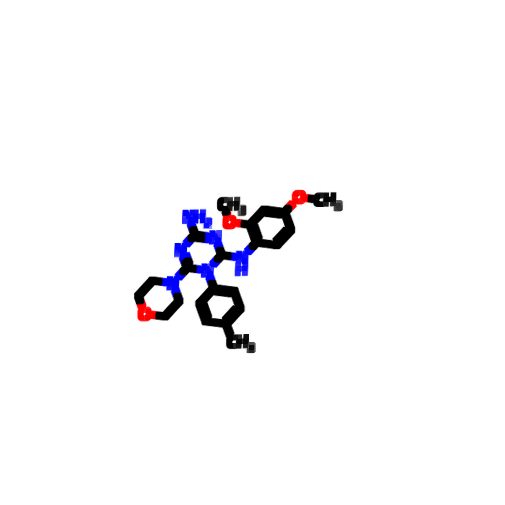 COc1ccc(NC2N=C(N)N=C(N3CCOCC3)N2c2ccc(C)cc2)c(OC)c1